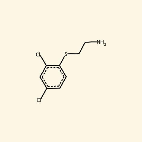 NCCSc1ccc(Cl)cc1Cl